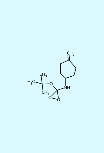 C=C1CCC(NC2(OC(C)(C)C)OO2)CC1